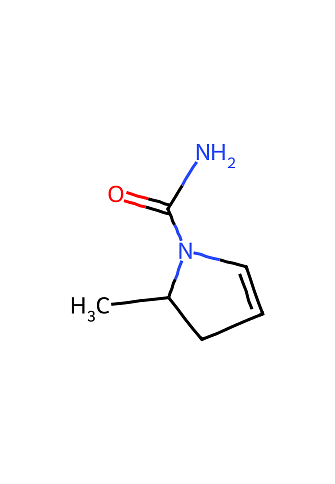 CC1CC=CN1C(N)=O